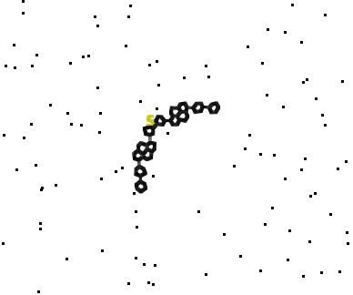 c1ccc(-c2ccc(-c3ccc4ccc5c(-c6ccc7sc8ccc(-c9ccc%10ccc%11c(-c%12ccc(-c%13ccccc%13)cc%12)ccc%12ccc9c%10c%12%11)cc8c7c6)ccc6ccc3c4c65)cc2)cc1